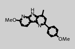 COc1ccc(-c2cc(C)c3[nH]c4nc(OC)ccc4c3n2)cc1